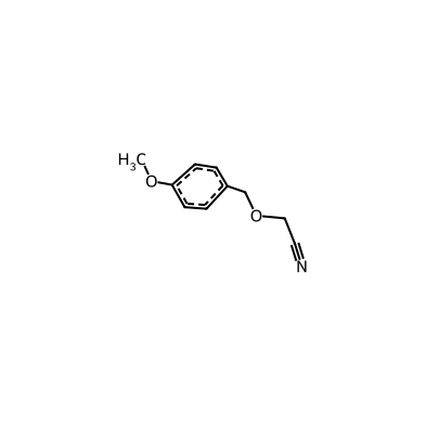 COc1ccc(COCC#N)cc1